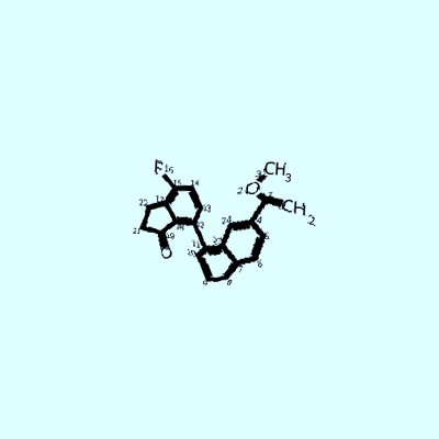 C=C(OC)c1ccc2cccc(-c3ccc(F)c4c3C(=O)CC4)c2c1